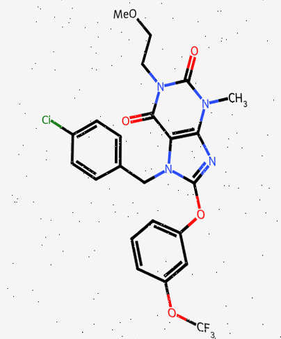 COCCn1c(=O)c2c(nc(Oc3cccc(OC(F)(F)F)c3)n2Cc2ccc(Cl)cc2)n(C)c1=O